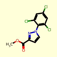 COC(=O)c1ccn(-c2c(Cl)cc(Cl)cc2Cl)n1